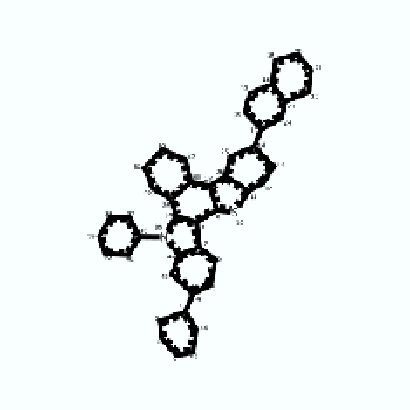 c1ccc(-c2ccc3c4c5sc6ccc(-c7ccc8ccccc8c7)cc6c5c5ccccc5c4n(-c4ccccc4)c3c2)cc1